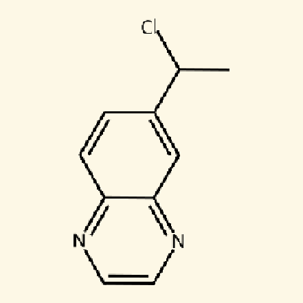 CC(Cl)c1ccc2nccnc2c1